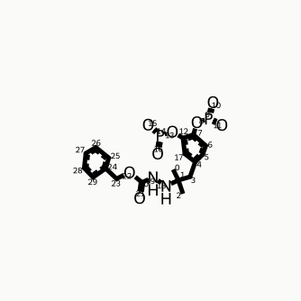 CC(C)(Cc1ccc(OP(=O)=O)c(OP(=O)=O)c1)NNC(=O)OCc1ccccc1